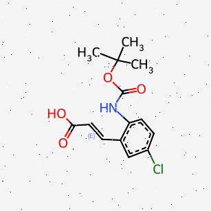 CC(C)(C)OC(=O)Nc1ccc(Cl)cc1/C=C/C(=O)O